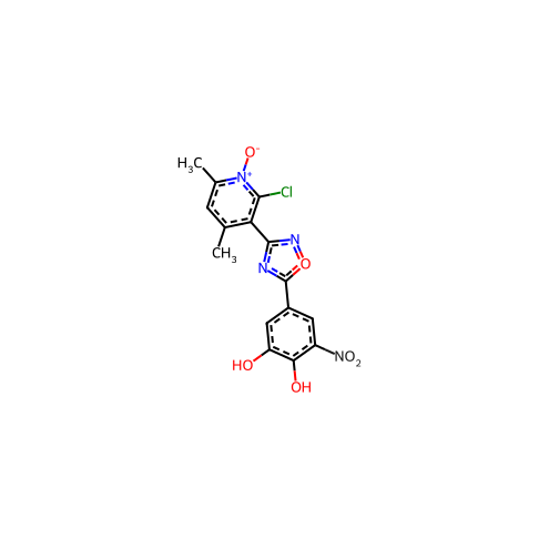 Cc1cc(C)[n+]([O-])c(Cl)c1-c1noc(-c2cc(O)c(O)c([N+](=O)[O-])c2)n1